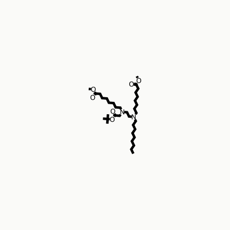 CCCCCCCCCN(CCCCCCCC(=O)OC)CCN(CCCCCCCC(=O)OC)CC(=O)OC(C)(C)C